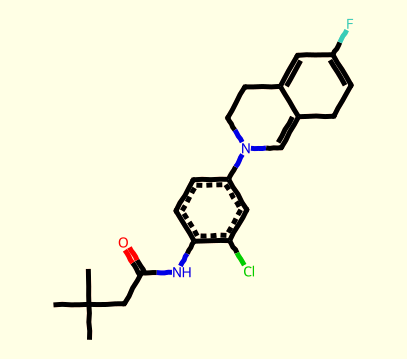 CC(C)(C)CC(=O)Nc1ccc(N2C=C3CC=C(F)C=C3CC2)cc1Cl